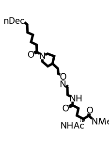 CCCCCCCCCCCCCCCC(=O)N1CCC(CCON=CCNC(=O)CC[C@H](NC(C)=O)C(=O)NC)CC1